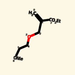 C=C(COCCOC)C(=O)OCC